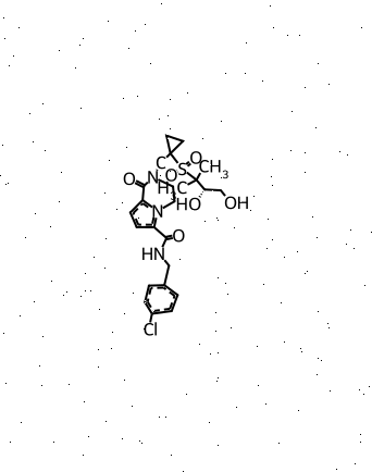 CC(C)([C@@H](O)CO)S(=O)(=O)C1(CN2CCn3c(C(=O)NCc4ccc(Cl)cc4)ccc3C2=O)CC1